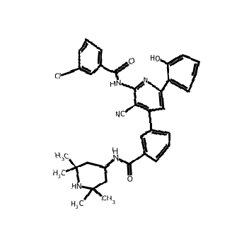 CC1(C)CC(NC(=O)c2cccc(-c3cc(-c4ccccc4O)nc(NC(=O)c4cccc(Cl)c4)c3C#N)c2)CC(C)(C)N1